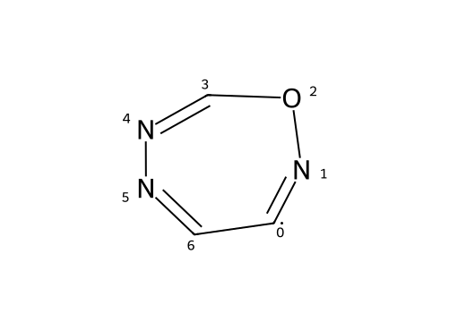 [C]1=NOC=NN=C1